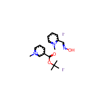 C[n+]1cccc(C(=O)OC(C)(C)C)c1.C[n+]1ccccc1C=NO.[I-].[I-]